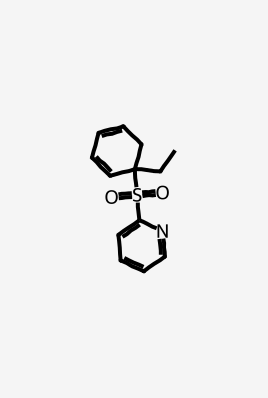 CCC1(S(=O)(=O)c2ccccn2)C=CC=CC1